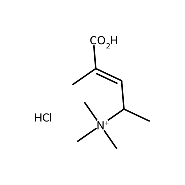 CC(=CC(C)[N+](C)(C)C)C(=O)O.Cl